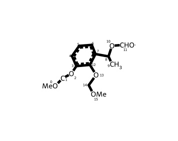 COCOc1cccc(C(C)O[C]=O)c1OCOC